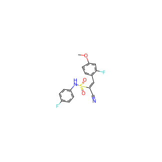 COc1ccc(/C=C(/C#N)S(=O)(=O)Nc2ccc(F)cc2)c(F)c1